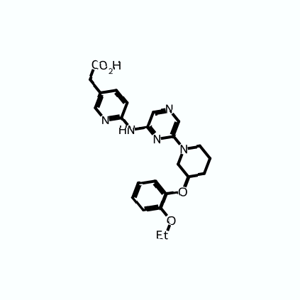 CCOc1ccccc1OC1CCCN(c2cncc(Nc3ccc(CC(=O)O)cn3)n2)C1